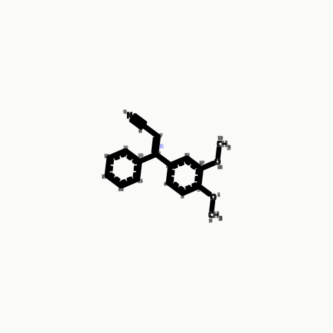 COc1ccc(/C(=C/C#N)c2ccccc2)cc1OC